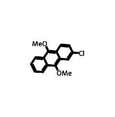 COc1c2ccccc2c(OC)c2cc(Cl)ccc12